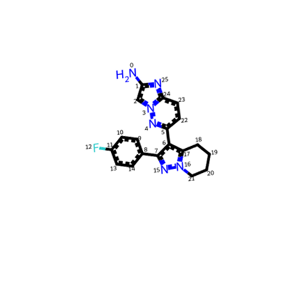 Nc1cn2nc(-c3c(-c4ccc(F)cc4)nn4c3CCCC4)ccc2n1